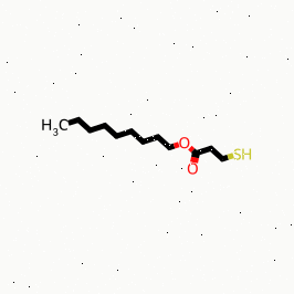 CCCCCCCCCOC(=O)CCS